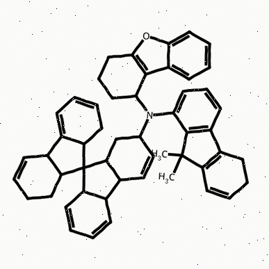 CC1(C)C2=C(CCC=C2)c2cccc(N(C3C=CC4C5C=CC=CC5C5(C6CC=CC=C6C6C=CCCC65)C4C3)C3CCCc4oc5ccccc5c43)c21